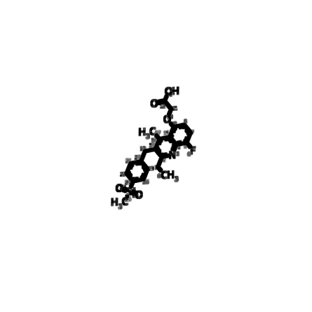 CCc1nc2c(F)ccc(OCC(=O)O)c2c(C)c1Cc1ccc(S(C)(=O)=O)cc1